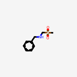 CS(=O)(=O)CNCc1ccccc1